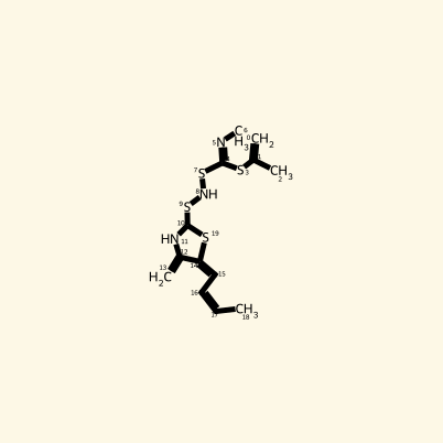 C=C(C)S/C(=N\C)SNSC1NC(=C)/C(=C\C=C/C)S1